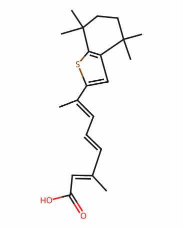 CC(C=CC=C(C)c1cc2c(s1)C(C)(C)CCC2(C)C)=CC(=O)O